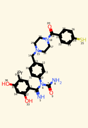 CC(C)c1cc(C(=N)N(C(N)=O)c2ccc(CN3CCN(C(=O)c4ccc(S)cc4)CC3)cc2)c(O)cc1O